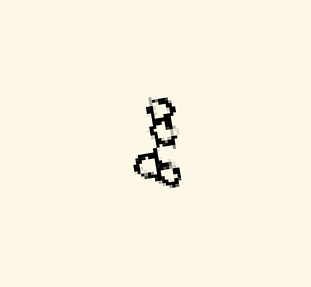 [c]1c(-c2ccnc3cccnc23)cnc2ccncc12